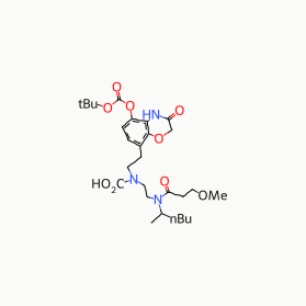 CCCCC(C)N(CCN(CCc1ccc(OC(=O)OC(C)(C)C)c2c1OCC(=O)N2)C(=O)O)C(=O)CCOC